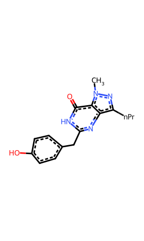 CCCc1nn(C)c2c(=O)[nH]c(Cc3ccc(O)cc3)nc12